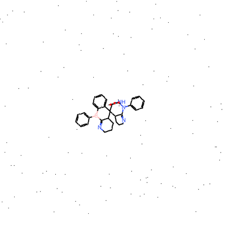 c1ccc(B2C3=NCCCC3C3(c4ccccc42)C2CCCN=C2N(c2ccccc2)C2NCCCC23)cc1